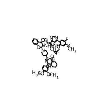 COc1cc(OCC2CC2)c(-c2ncnc3c(C(=O)N[C@@H](C(=O)N4CCC(N5N=C(c6ccc(OC)c(OC)c6)[C@H]6CCCC[C@H]6C5=O)CC4)[C@@H](C)c4ccccc4)c(C)[nH]c23)cc1F